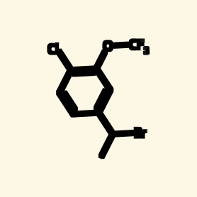 CC(Br)c1ccc(Cl)c(OC(F)(F)F)c1